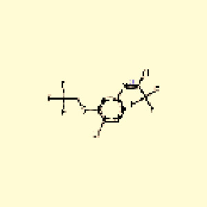 FC(F)(F)CSc1cc(/N=C(/Cl)C(F)(F)F)ccc1Cl